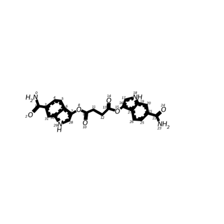 NC(=O)c1ccc2c(OC(=O)CCC(=O)Oc3c[nH]c4cc(C(N)=O)ccc34)c[nH]c2c1